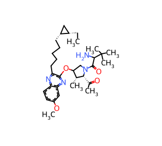 CC[C@H]1C[C@H]1CCCCCc1nc2ccc(OC)cc2nc1OC1CN(C(=O)C(N)C(C)(C)C)[C@H](C(C)=O)[C@@H]1C